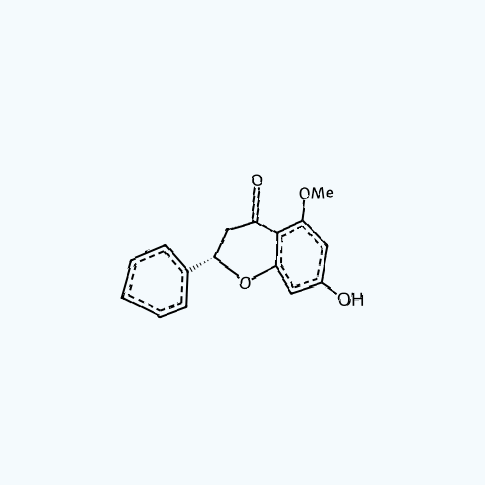 COc1cc(O)cc2c1C(=O)C[C@@H](c1ccccc1)O2